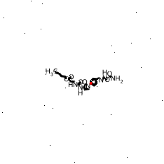 CCCCCOC(=O)CCNC(=O)N[C@H]1CCN(c2ccc(C=NNOC(N)=O)cc2)C1=O